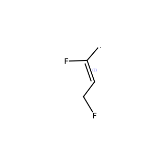 [CH2]/C(F)=C/CF